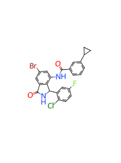 O=C(Nc1cc(Br)cc2c1C(c1cc(F)ccc1Cl)NC2=O)c1cccc(C2CC2)c1